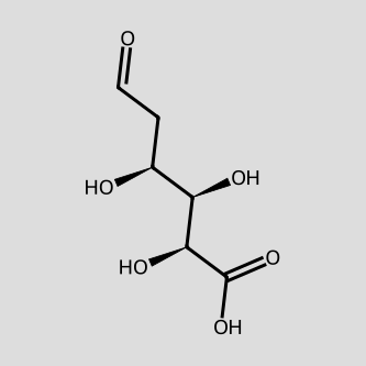 O=CC[C@H](O)[C@@H](O)[C@H](O)C(=O)O